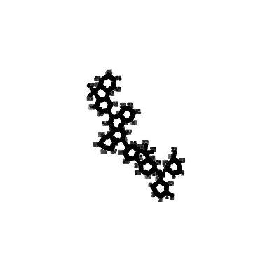 Cc1cccc(N(c2cccc(C)c2)c2ccc3c(c2)C(C)(C)c2cc(-c4cc5c6ccccc6c(-c6ccc7c(c6)-c6ccccc6C7(C)C)cc5c5ccccc45)ccc2-3)c1